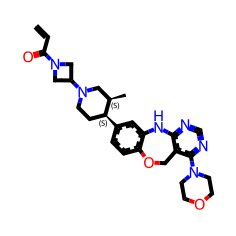 C=CC(=O)N1CC(N2CC[C@H](c3ccc4c(c3)Nc3ncnc(N5CCOCC5)c3CO4)[C@H](C)C2)C1